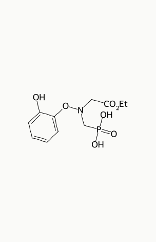 CCOC(=O)CN(CP(=O)(O)O)Oc1ccccc1O